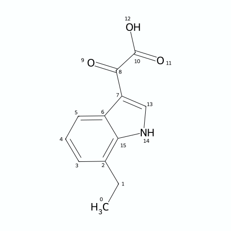 CCc1cccc2c(C(=O)C(=O)O)c[nH]c12